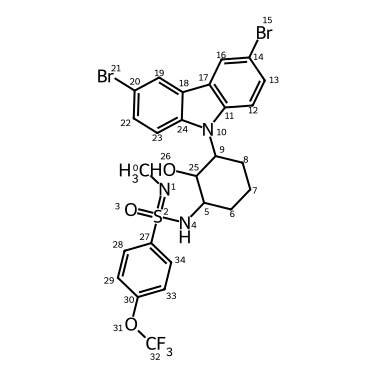 CN=S(=O)(NC1CCCC(n2c3ccc(Br)cc3c3cc(Br)ccc32)C1O)c1ccc(OC(F)(F)F)cc1